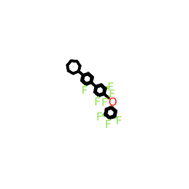 Fc1cc(C2CCCCCC2)ccc1-c1cc(F)c(C(F)(F)Oc2cc(F)c(F)c(F)c2)c(F)c1